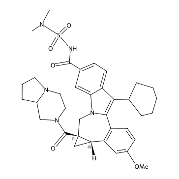 COc1ccc2c(c1)[C@@H]1C[C@]1(C(=O)N1CCN3CCCC3C1)Cn1c-2c(C2CCCCC2)c2ccc(C(=O)NS(=O)(=O)N(C)C)cc21